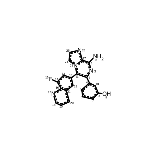 Nc1nc(-c2cccc(O)c2)c(-c2cc(F)c3ncccc3c2)n2ccnc12